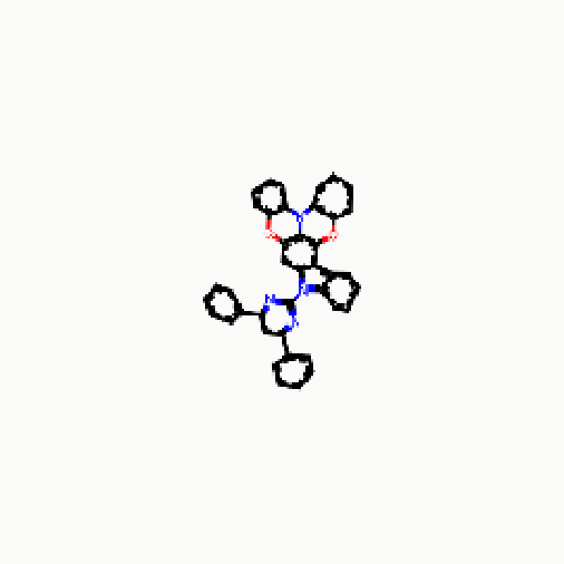 c1ccc(-c2cc(-c3ccccc3)nc(-n3c4ccccc4c4c5c6c(cc43)Oc3ccccc3N6c3ccccc3O5)n2)cc1